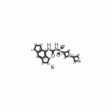 O=C(Nc1c2c(cc3c1CCC3)CCC2)NS(=O)(=O)C1CN(C2CSC2)C1.[K]